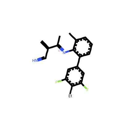 C=C(C=N)/C(C)=N/c1c(C)cccc1-c1cc(F)c(CC)c(F)c1